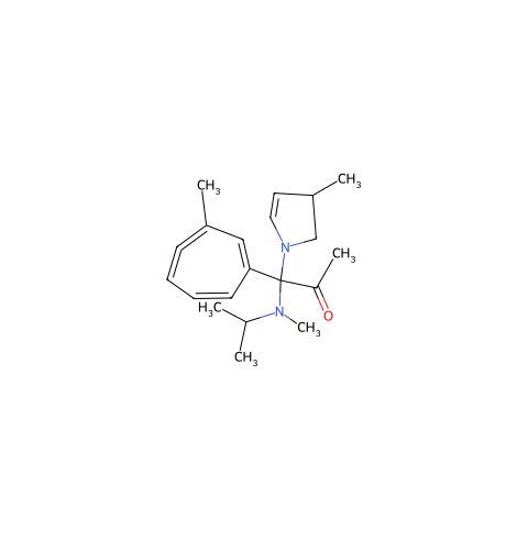 CC(=O)C(C1=CC(C)=C=CC=C1)(N1C=CC(C)C1)N(C)C(C)C